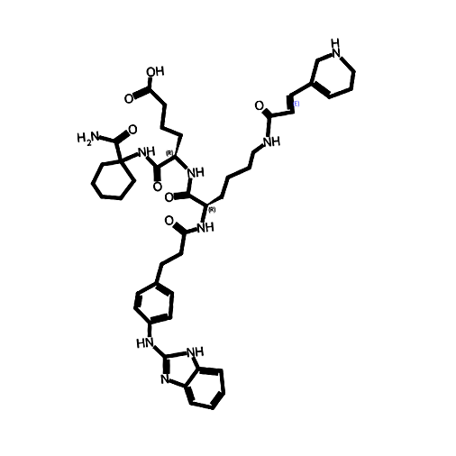 NC(=O)C1(NC(=O)[C@@H](CCCC(=O)O)NC(=O)[C@@H](CCCCNC(=O)/C=C/C2=CCCNC2)NC(=O)CCc2ccc(Nc3nc4ccccc4[nH]3)cc2)CCCCC1